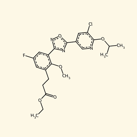 CCOC(=O)CCc1cc(F)cc(-c2noc(-c3cnc(OC(C)C)c(Cl)c3)n2)c1OC